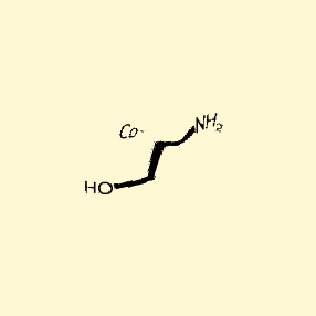 NCCO.[Co]